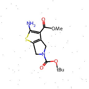 COC(=O)c1c(N)sc2c1CN(C(=O)OC(C)(C)C)C2